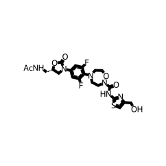 CC(=O)NC[C@H]1CN(c2cc(F)c(N3CCON(C(=O)Nc4nc(CO)cs4)CC3)c(F)c2)C(=O)O1